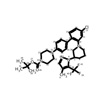 Cc1cnn(C2CCCN(c3cc(Cl)ccc3-c3ccc(N4CCN(C(=O)OC(C)(C)C)CC4)cc3)C2)c1C(F)(F)F